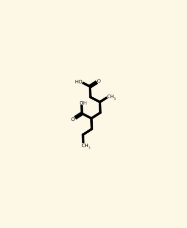 CCCC(CC(C)CC(=O)O)C(=O)O